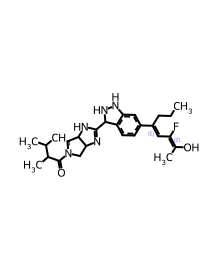 CCC/C(=C\C(F)=C(/C)O)c1ccc2c(c1)NNC2C1=NC2CN(C(=O)C(C)C(C)C)CC2N1